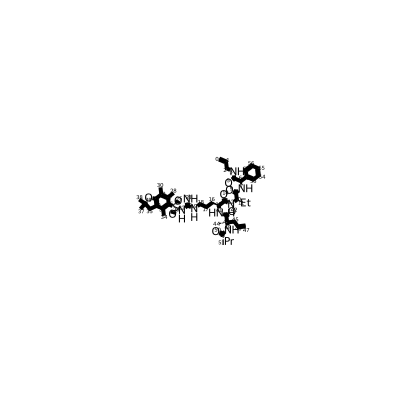 C=CCNC(=O)[C@H](NC(=O)[C@H](CC)NC(=O)[C@H](CCCNC(=N)NS(=O)(=O)c1c(C)c(C)c2c(c1C)CC(C)(C)O2)NC(=O)[C@@](C)(CC=C)NC(=O)C(C)C)c1ccccc1